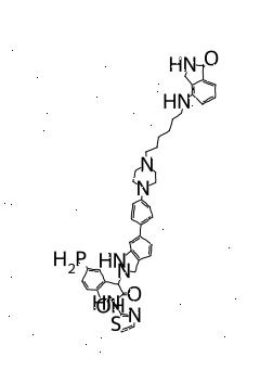 O=C1NCc2c(NCCCCCCN3CCN(c4ccc(-c5ccc6c(c5)NN(C(C(=O)Nc5nccs5)c5cc(P)ccc5O)C6)cc4)CC3)cccc21